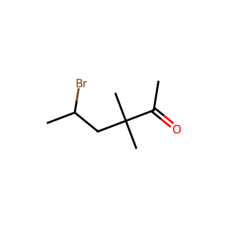 CC(=O)C(C)(C)CC(C)Br